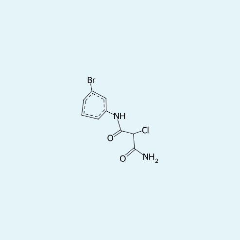 NC(=O)C(Cl)C(=O)Nc1cccc(Br)c1